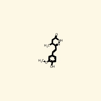 COc1cc(C=CC2=NNC(=O)CC2C)ccc1O